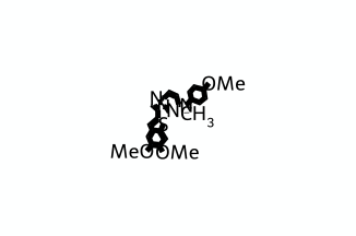 COc1cc2cc(-c3cnc4ccc(N(C)C5CCC(OC)CC5)nn34)sc2cc1OC